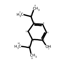 CC(C)C1=CC=C(O)C(C(C)C)[CH]1